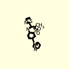 CN1C(c2nccs2)=Nc2ccc(N3CCN4CCC3CC4)cc2S1(=O)=O